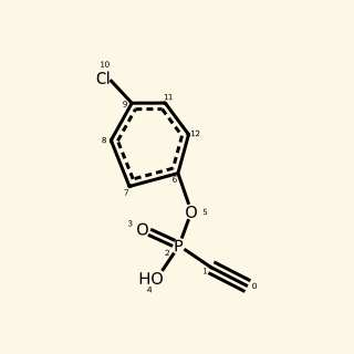 C#CP(=O)(O)Oc1ccc(Cl)cc1